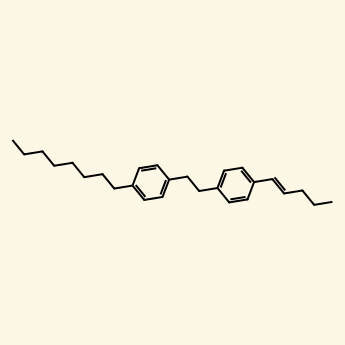 CCC/C=C/c1ccc(CCc2ccc(CCCCCCCC)cc2)cc1